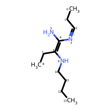 CC/C=N\C(N)=C(CC)NCCCC